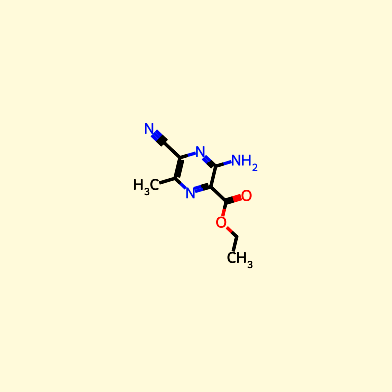 CCOC(=O)c1nc(C)c(C#N)nc1N